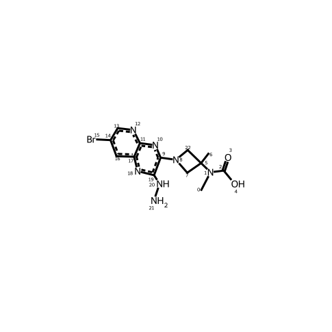 CN(C(=O)O)C1(C)CN(c2nc3ncc(Br)cc3nc2NN)C1